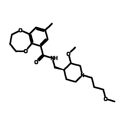 COCCCN1CC[C@@H](CNC(=O)c2cc(C)cc3c2OCCCO3)C(OC)C1